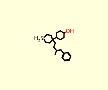 CC(CCC1(C2CCC(O)CC2)CC[SiH2]CC1)Cc1ccccc1